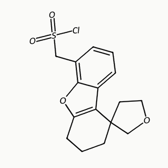 O=S(=O)(Cl)Cc1cccc2c3c(oc12)CCCC31CCOC1